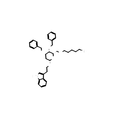 NCCCCCOC[C@H]1O[C@@H](OCCc2c[nH]c3ccccc23)C[C@H](OCc2ccccc2)[C@H]1OCc1ccccc1